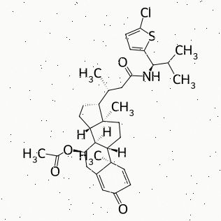 CC(=O)O[C@@H]1CC2=CC(=O)C=C[C@]2(C)[C@H]2CC[C@]3(C)[C@@H]([C@H](C)CC(=O)N[C@@H](c4ccc(Cl)s4)C(C)C)CC[C@H]3[C@H]12